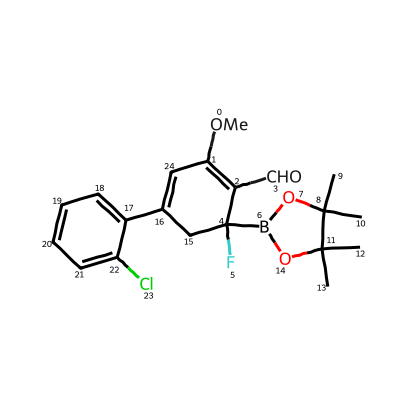 COC1=C(C=O)C(F)(B2OC(C)(C)C(C)(C)O2)CC(c2ccccc2Cl)=C1